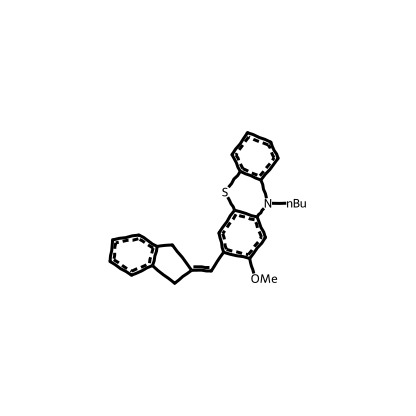 CCCCN1c2ccccc2Sc2cc(C=C3Cc4ccccc4C3)c(OC)cc21